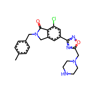 Cc1ccc(CN2Cc3cc(-c4noc(CN5CCNCC5)n4)cc(Cl)c3C2=O)cc1